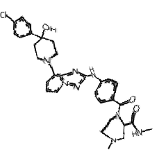 CNC(=O)C1CN(C)CCN1C(=O)c1ccc(Nc2nc3c(N4CCC(O)(c5ccc(Cl)cc5)CC4)cccn3n2)cc1